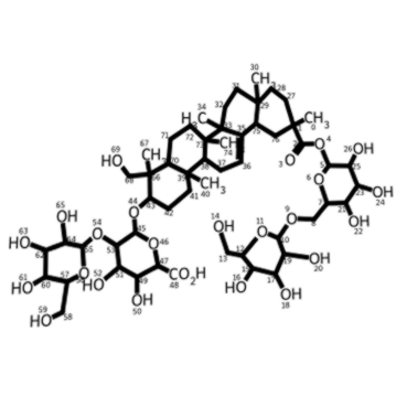 CC1(C(=O)OC2OC(COC3OC(CO)C(O)C(O)C3O)C(O)C(O)C2O)CCC2(C)CCC3(C)C(=CCC4C5(C)CCC(OC6OC(C(=O)O)C(O)C(O)C6OC6OC(CO)C(O)C(O)C6O)C(C)(CO)C5CCC43C)C2C1